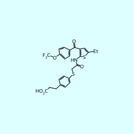 CCc1cc(C(=O)c2ccc(OC(F)(F)F)cc2)c(NC(=O)CSc2ccc(CCC(=O)O)cc2)s1